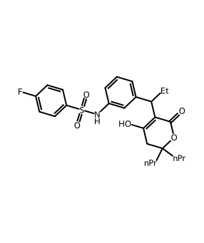 CCCC1(CCC)CC(O)=C(C(CC)c2cccc(NS(=O)(=O)c3ccc(F)cc3)c2)C(=O)O1